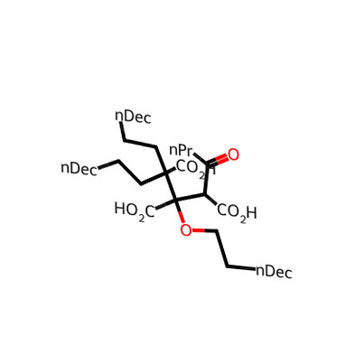 CCCCCCCCCCCCOC(C(=O)O)(C(C(=O)O)C(=O)CCC)C(CCCCCCCCCCCC)(CCCCCCCCCCCC)C(=O)O